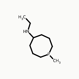 CCNC1CCCP(C)CCC1